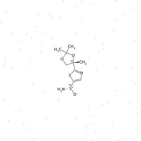 CC1(C)OC[C@@](C)(c2ncc([S@@+](N)[O-])s2)O1